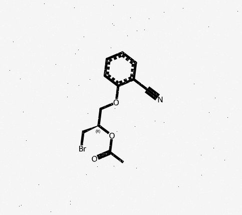 CC(=O)O[C@@H](CBr)COc1ccccc1C#N